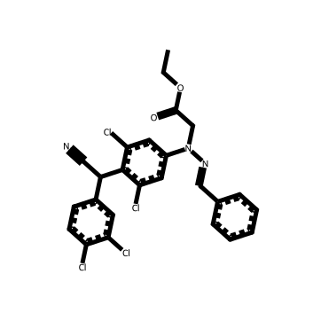 CCOC(=O)CN(N=Cc1ccccc1)c1cc(Cl)c(C(C#N)c2ccc(Cl)c(Cl)c2)c(Cl)c1